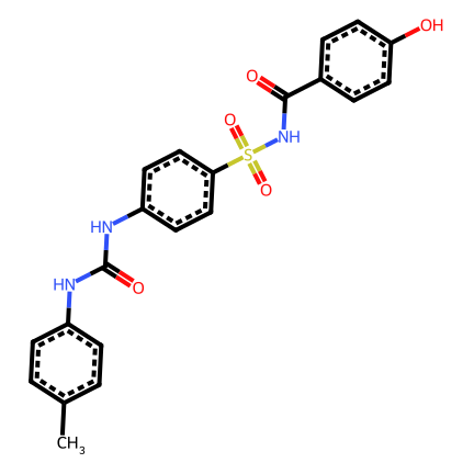 Cc1ccc(NC(=O)Nc2ccc(S(=O)(=O)NC(=O)c3ccc(O)cc3)cc2)cc1